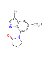 CCc1c[nH]c2c(N3CCCC3=O)cc(C(=O)O)cc12